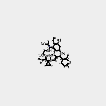 C=Nc1c(Cl)cc(N[C@H](C2=CN(C3(C(=O)N(C)C)CC3)NN2)c2ccc(F)nc2C)cc1/C(NCC(C)(C)C)=C(\C)C#N